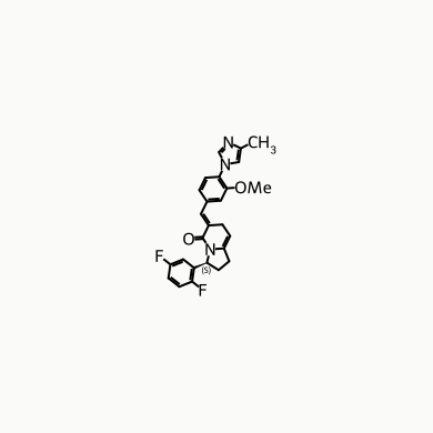 COc1cc(C=C2CC=C3CC[C@@H](c4cc(F)ccc4F)N3C2=O)ccc1-n1cnc(C)c1